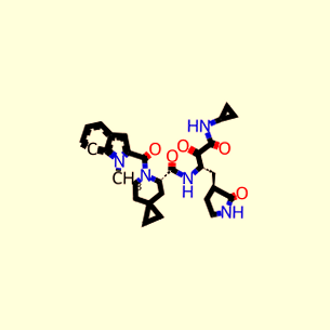 Cn1c(C(=O)N2CCC3(CC3)C[C@H]2C(=O)N[C@@H](C[C@@H]2CCNC2=O)C(=O)C(=O)NC2CC2)cc2ccccc21